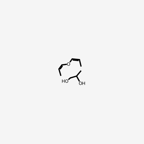 C/C=C\O/C=C\C.CC(O)CO